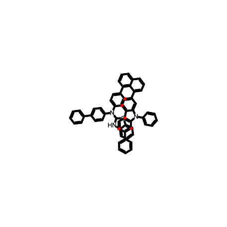 c1ccc(-c2ccc(N(c3ccc(-c4cccc5cccc(-c6ccc7c8ccc(-c9ccccc9)cc8n(-c8ccccc8)c7c6)c45)cc3)C3Nc4ccccc4O3)cc2)cc1